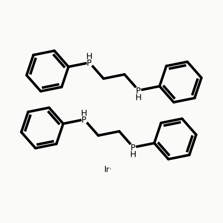 [Ir].c1ccc(PCCPc2ccccc2)cc1.c1ccc(PCCPc2ccccc2)cc1